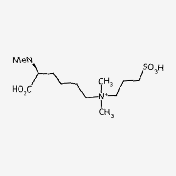 CN[C@@H](CCCC[N+](C)(C)CCCS(=O)(=O)O)C(=O)O